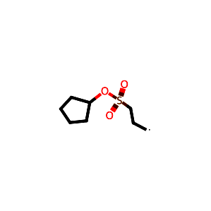 [CH2]CCS(=O)(=O)OC1CCCC1